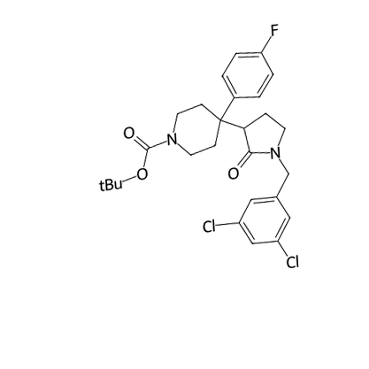 CC(C)(C)OC(=O)N1CCC(c2ccc(F)cc2)(C2CCN(Cc3cc(Cl)cc(Cl)c3)C2=O)CC1